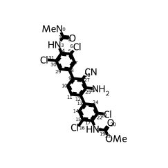 CNC(=O)Nc1c(Cl)cc(-c2[c]cc(-c3cc(Cl)c(NC(=O)OC)c(Cl)c3)c(N)c2C#N)cc1Cl